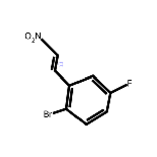 O=[N+]([O-])/C=C/c1cc(F)ccc1Br